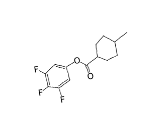 CC1CCC(C(=O)Oc2cc(F)c(F)c(F)c2)CC1